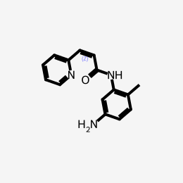 Cc1ccc(N)cc1NC(=O)/C=C\c1ccccn1